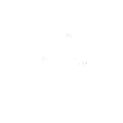 CCC1(C2C(CC(=O)OC)C2CC(=O)OC)c2ccccc2-c2ccccc21